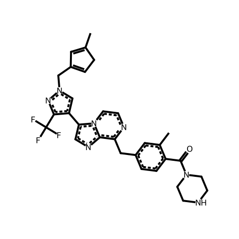 CC1=CC(Cn2cc(-c3cnc4c(Cc5ccc(C(=O)N6CCNCC6)c(C)c5)nccn34)c(C(F)(F)F)n2)=CC1